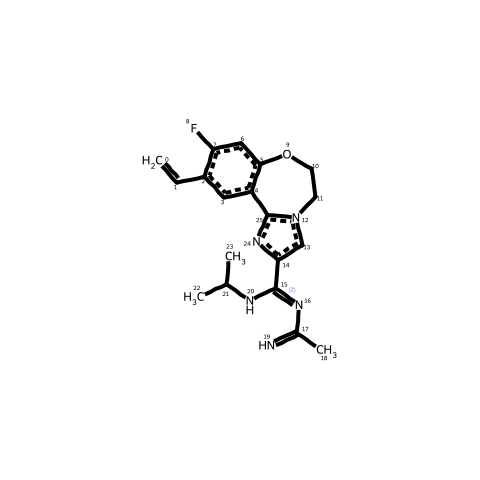 C=Cc1cc2c(cc1F)OCCn1cc(/C(=N/C(C)=N)NC(C)C)nc1-2